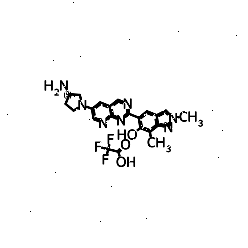 Cc1c(O)c(-c2ncc3cc(N4CC[C@H](N)C4)cnc3n2)cc2cn(C)nc12.O=C(O)C(F)(F)F